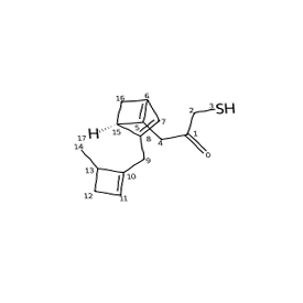 C=C(CS)CC1=C2C=C(CC3=CCC3C)[C@H]1C2